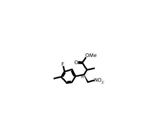 COC(=O)C(C)[C@@H](C[N+](=O)[O-])c1ccc(C)c(F)c1